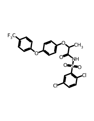 CC(Oc1ccc(Oc2ccc(C(F)(F)F)cc2)cc1)C(=O)NS(=O)(=O)c1cc(Cl)ccc1Cl